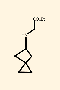 CCOC(=O)CNC1CC2(CC2)C1